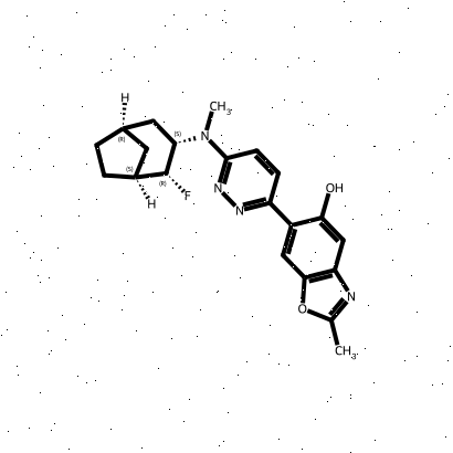 Cc1nc2cc(O)c(-c3ccc(N(C)[C@H]4C[C@@H]5CC[C@@H](C5)[C@H]4F)nn3)cc2o1